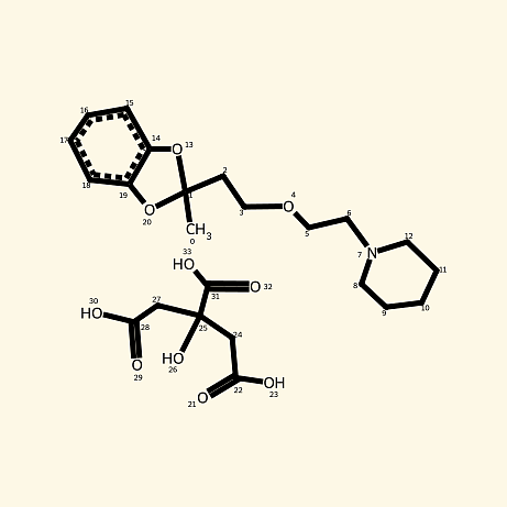 CC1(CCOCCN2CCCCC2)Oc2ccccc2O1.O=C(O)CC(O)(CC(=O)O)C(=O)O